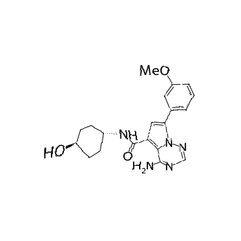 COc1cccc(-c2cc(C(=O)N[C@H]3CC[C@H](O)CC3)c3c(N)ncnn23)c1